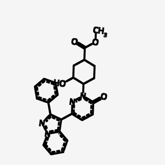 COC(=O)C1CCC(n2nc(-c3c(-c4ccccc4)nn4ccccc34)ccc2=O)C(O)C1